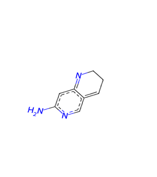 Nc1cc2c(cn1)=CCCN=2